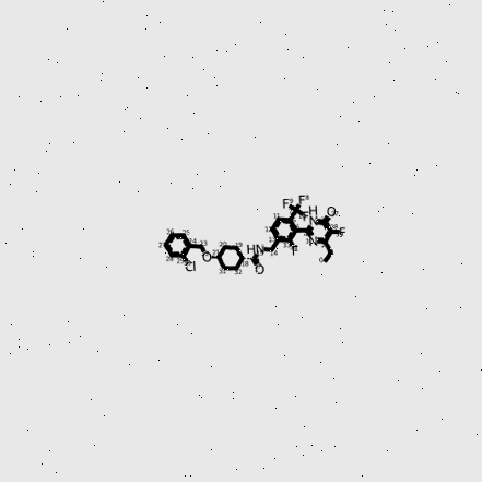 CCc1nc(-c2c(C(F)(F)F)ccc(CNC(=O)[C@H]3CC[C@H](OCc4ccccc4Cl)CC3)c2F)[nH]c(=O)c1F